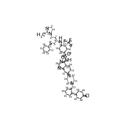 CC1=NCCN1CC[C@H](CSc1ccccc1)Nc1ccc(S(=O)(=O)Nc2ncnc3cc(N4CCN(Cc5ccccc5-c5ccc(Cl)cc5)CC4)ccc23)cc1C(F)(F)F